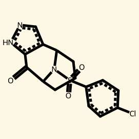 O=C1c2[nH]ncc2C2CCCC1N2S(=O)(=O)c1ccc(Cl)cc1